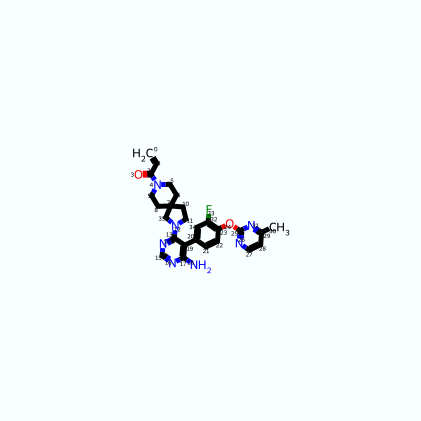 C=CC(=O)N1CCC2(CC1)CCN(c1ncnc(N)c1-c1ccc(Oc3nccc(C)n3)c(F)c1)C2